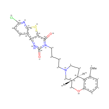 COc1cccc2c1[C@@H]1CCN(CCCCn3c(=O)[nH]c4c(sc5nc(Cl)ccc54)c3=O)C[C@H]1CO2